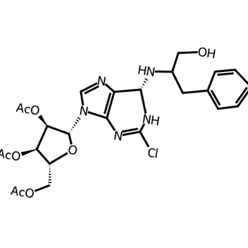 CC(=O)OC[C@H]1O[C@@H](n2cnc3c2N=C(Cl)N[C@H]3NC(CO)Cc2ccccc2)[C@H](OC(C)=O)[C@@H]1OC(C)=O